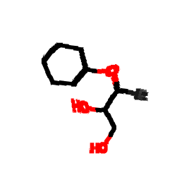 CCC(OC1CCCCC1)C(O)CO